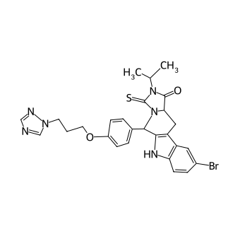 CC(C)N1C(=O)C2Cc3c([nH]c4ccc(Br)cc34)C(c3ccc(OCCCn4cncn4)cc3)N2C1=S